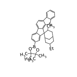 CCC1CC2CC(C)C3(c4cc(B5OC(C)(C)C(C)(C)O5)ccc4-c4ccc5c(sc6ccccc65)c43)C(C1)C2